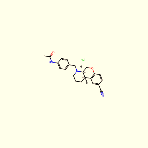 CC(=O)Nc1ccc(CN2CCC[C@H]3c4cc(C#N)ccc4OC[C@@H]32)cc1.Cl